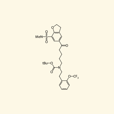 CNS(=O)(=O)c1cc(C(=O)CCCCN(CCc2ccccc2OC(F)(F)F)C(=O)OC(C)(C)C)cc2c1OCC2